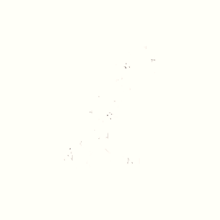 N=C/C=C(\S)c1ccncc1/C=C/C(=O)Nc1ccc(CN2CCOCC2)cc1